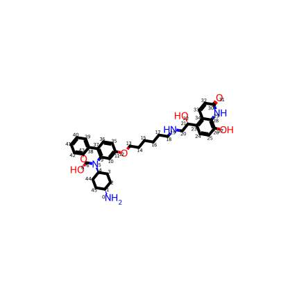 N[C@H]1CC[C@H](N(C(=O)O)c2cc(OCCCCCCNC[C@H](O)c3ccc(O)c4[nH]c(=O)ccc34)ccc2-c2ccccc2)CC1